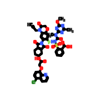 C#CCN1C(=O)COc2cc(F)c(N3C(=O)C4=C(CCCC4)C3=O)cc21.COc1nc(C)nc(N(C)C(=O)NS(=O)(=O)c2ccccc2C(=O)O)n1.O=C(O)COc1ccc(Cl)c2cccnc12